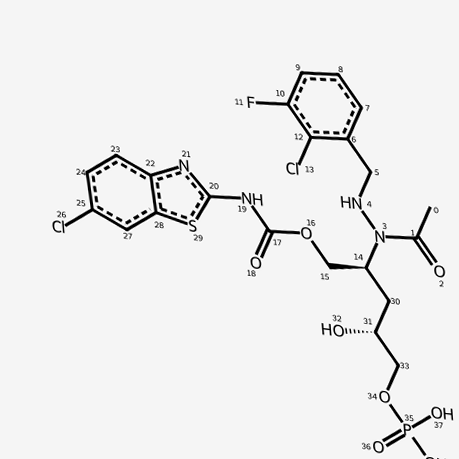 CC(=O)N(NCc1cccc(F)c1Cl)[C@H](COC(=O)Nc1nc2ccc(Cl)cc2s1)C[C@@H](O)COP(=O)(O)O